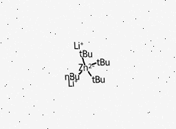 CCC[CH2][Zn-2]([C](C)(C)C)([C](C)(C)C)[C](C)(C)C.[Li+].[Li+]